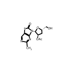 CC(=O)O[C@@H]1C[C@@H](CO)O[C@H]1n1c(=O)sc2cnc(C)nc21